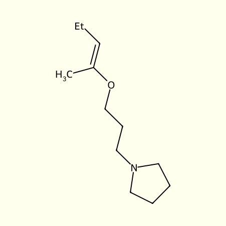 CC/C=C(\C)OCCCN1CCCC1